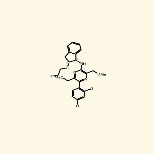 COCc1nc(-c2ccc(Cl)cc2Cl)c(COC)nc1N[C@@H]1c2ccccc2C[C@@H]1OCCF